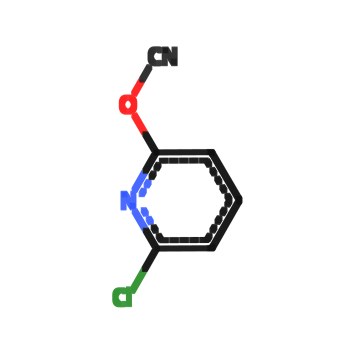 N#COc1cccc(Cl)n1